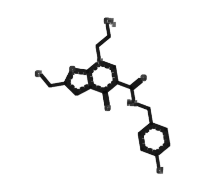 CCCn1cc(C(=O)NCc2ccc(Cl)cc2)c(=O)c2cc(CCl)oc21